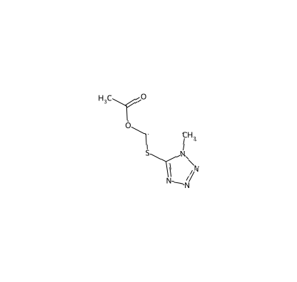 CC(=O)O[CH]Sc1nnnn1C